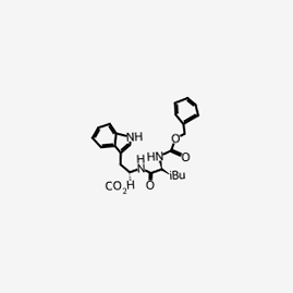 CC[C@H](C)[C@H](NC(=O)OCc1ccccc1)C(=O)N[C@@H](Cc1c[nH]c2ccccc12)C(=O)O